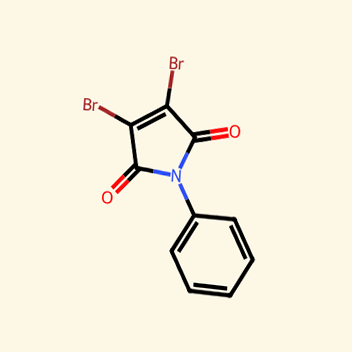 O=C1C(Br)=C(Br)C(=O)N1c1ccccc1